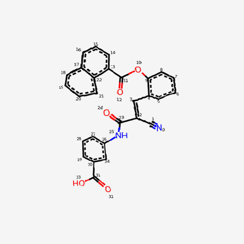 N#C/C(=C\c1ccccc1OC(=O)c1cccc2ccccc12)C(=O)Nc1cccc(C(=O)O)c1